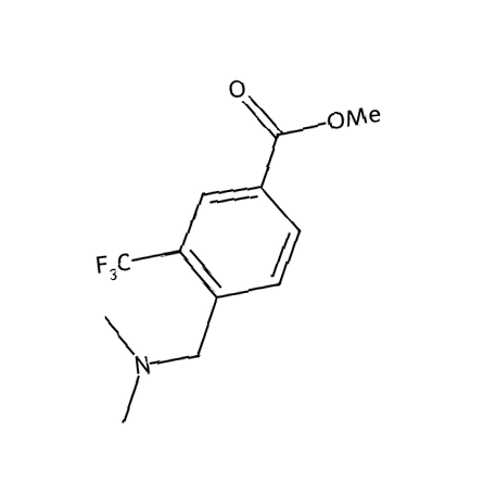 COC(=O)c1ccc(CN(C)C)c(C(F)(F)F)c1